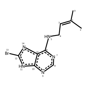 CC(C)=CCNc1ncnc2[nH]c(Br)nc12